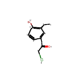 CCc1cc(C(=O)CCl)ccc1Br